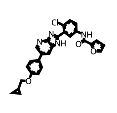 O=C(Nc1ccc(Cl)c(-c2nc3ncc(-c4ccc(OCC5CC5)cc4)cc3[nH]2)c1)c1ccco1